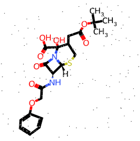 CC(C)(C)OC(=O)CC1CS[C@@H]2[C@H](NC(=O)COc3ccccc3)C(=O)N2C1(O)C(=O)O